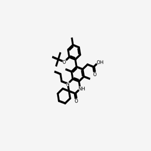 CCCN1c2c(C)c(-c3ccc(C)cc3OC(C)(C)C)c(CC(=O)O)c(C)c2NC(=O)C12CCCCC2